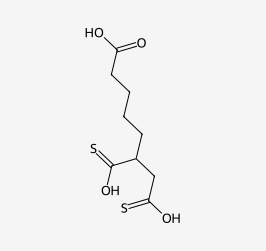 O=C(O)CCCCC(CC(O)=S)C(O)=S